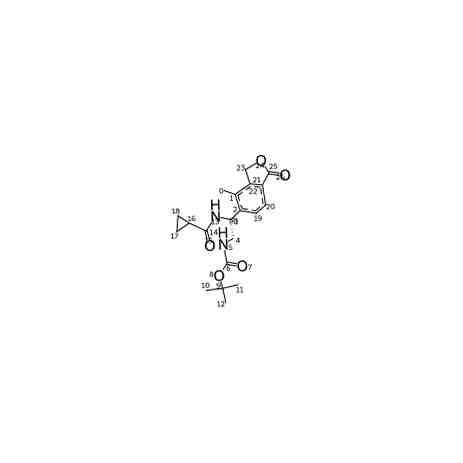 Cc1c([C@H](CNC(=O)OC(C)(C)C)NC(=O)C2CC2)ccc2c1COC2=O